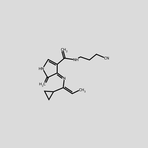 C=C(NCCCC#N)C1=CNC(=C)/C1=N\C(=C/C)C1CC1